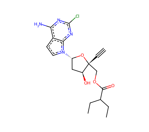 C#C[C@]1(COC(=O)C(CC)CC)O[C@@H](n2ccc3c(N)nc(Cl)nc32)C[C@@H]1O